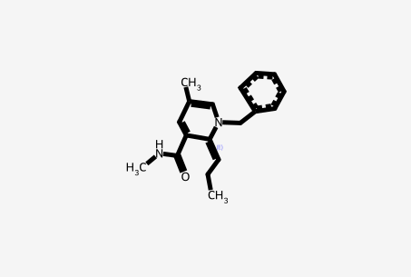 CC/C=C1\C(C(=O)NC)=CC(C)=CN1Cc1ccccc1